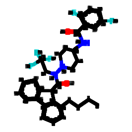 CCCCc1cccc2c1C(C(=O)N(CC(F)(F)F)N1CCC(NC(=O)c3cc(F)ccc3F)CC1)c1ccccc1-2